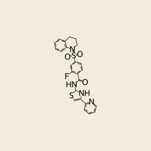 O=C(NC1NC(c2ccccn2)=CS1)c1ccc(S(=O)(=O)N2CCCc3ccccc32)cc1F